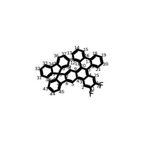 Fc1cc2c3cc4c(cc3c3c5ccccc5c5ccccc5c3c2cc1F)C1(c2ccccc2-c2ccccc21)c1ccccc1-4